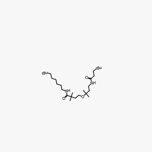 CC(C)(C)CCCCCCNC(=O)C(C)(C)CCOC(C)(C)CCNC(=O)CCC(C)(C)C